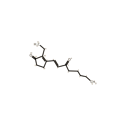 CCCCCC(=O)C=CC1=C(CC)C(=O)CC1